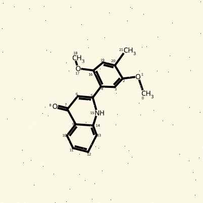 COc1cc(-c2cc(=O)c3ccccc3[nH]2)c(OC)cc1C